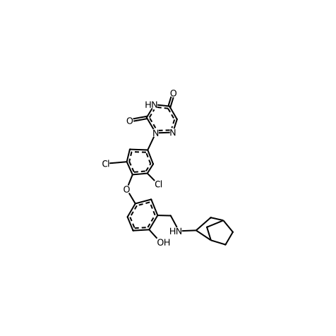 O=c1cnn(-c2cc(Cl)c(Oc3ccc(O)c(CNC4CC5CCC4C5)c3)c(Cl)c2)c(=O)[nH]1